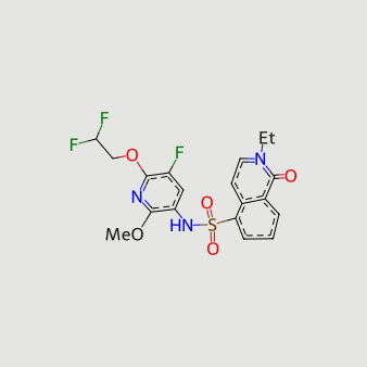 CCn1ccc2c(S(=O)(=O)Nc3cc(F)c(OCC(F)F)nc3OC)cccc2c1=O